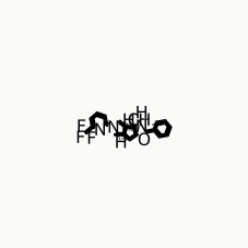 C[C@@]1(NC(=O)c2ccccc2)CC[C@@H]2CN(c3cccc(C(F)(F)F)n3)C[C@@H]21